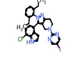 CCc1cccc(CC)c1-n1nc2c(c1-c1ccc(Cl)c3[nH]ccc13)CN(c1ncc(I)cn1)CC2